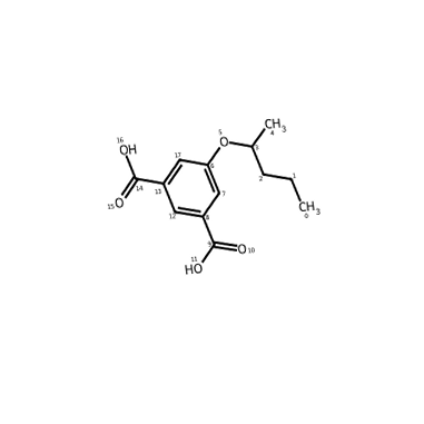 CCCC(C)Oc1cc(C(=O)O)cc(C(=O)O)c1